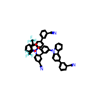 N#Cc1cccc(-c2ccc3c(c2)c2ccccc2n3-c2ccc(-c3cc(C(F)(F)F)cc(C(F)(F)F)c3)c(-c3cc(C#N)ccc3-n3c4ccccc4c4cc(-c5cccc(C#N)c5)ccc43)c2)c1